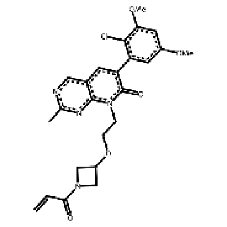 C=CC(=O)N1CC(OCCn2c(=O)c(-c3cc(OC)cc(OC)c3Cl)cc3cnc(I)nc32)C1